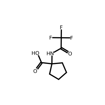 O=C(NC1(C(=O)O)CCCC1)C(F)(F)F